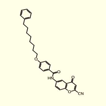 N#Cc1cc(=O)c2cc(NC(=O)c3ccc(OCCCCCCCCc4ccccc4)cc3)ccc2o1